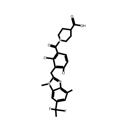 Cc1cc(C(C)(F)F)cc2c1nc(Cc1c(Cl)ccc(C(=O)N3CCC(C(=O)O)CC3)c1Cl)n2C